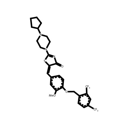 COc1cc(C=C2SC(N3CCN(C4CCCC4)CC3)=NC2=O)ccc1OCc1ccc(C(F)(F)F)cc1C(F)(F)F